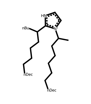 CCCCCCCCCCCCCCCC(C)[n+]1cc[nH]c1C(CCCC)CCCCCCCCCCCCCC